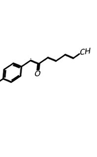 CCCCCC(=O)[CH]c1ccc(N)cc1